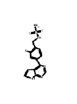 NS(=O)(=O)NCc1ccc(-c2ncnc3[nH]ccc23)cc1F